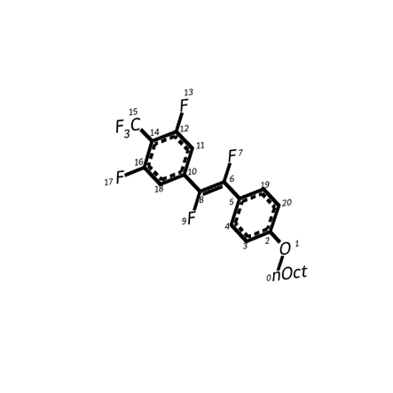 CCCCCCCCOc1ccc(/C(F)=C(\F)c2cc(F)c(C(F)(F)F)c(F)c2)cc1